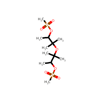 CC(OS(C)(=O)=O)C(C)(C)OC(C)(C)C(C)OS(C)(=O)=O